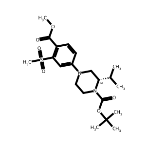 COC(=O)c1ccc(N2CCN(C(=O)OC(C)(C)C)[C@@H](C(C)C)C2)cc1S(C)(=O)=O